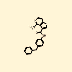 Nc1nccc2scc(C(=O)Nc3ccc(Cc4ccccc4)cc3)c12